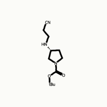 CC(C)(C)OC(=O)N1CC[C@@H](NCCC#N)C1